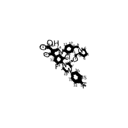 COC[C@@H]1CCCN1Cc1ccc(-n2cc(C(=O)O)c(=O)c3cc(F)c(N4CCN(c5ccc(F)cc5)CC4)c(Cl)c32)cc1